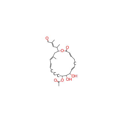 CC(=O)OC1CCC/C=C/C=C(\C)CC(C(C)/C=C(\C)C=O)OC(=O)/C=C/CC/C=C/C(O)C1O